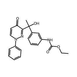 CCOC(=O)Nc1cccc(C(C)(O)c2nn(-c3ccccc3)ccc2=O)c1